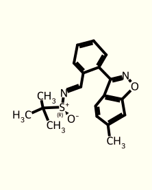 Cc1ccc2c(-c3ccccc3C=N[S@@+]([O-])C(C)(C)C)noc2c1